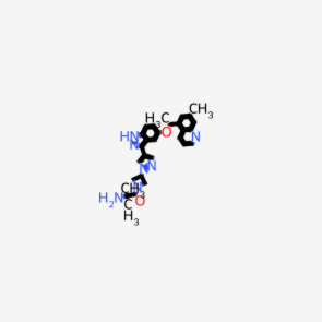 Cc1cc(C(C)Oc2ccc3[nH]nc(-c4cnn(C5CN(C(=O)C(C)(C)N)C5)c4)c3c2)c2cccnc2c1